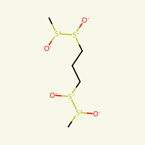 C[S+]([O-])[S+]([O-])CCC[S+]([O-])[S+](C)[O-]